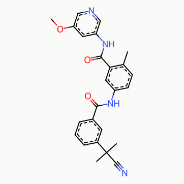 COc1cncc(NC(=O)c2cc(NC(=O)c3cccc(C(C)(C)C#N)c3)ccc2C)c1